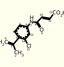 C=C(C)c1ccc(NC(=O)C=CC(=O)O)cc1Cl